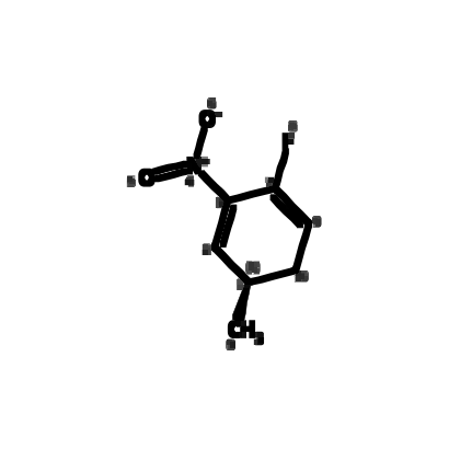 C[C@H]1C=C([N+](=O)[O-])C(F)=CC1